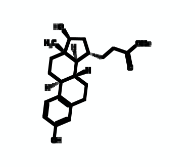 COC(=O)CC[C@H]1C[C@H](O)[C@@]2(C)CC[C@@H]3c4ccc(O)cc4CC[C@H]3[C@H]12